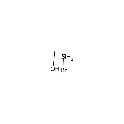 CO.[SiH3]Br